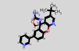 CC(C)(C)c1cnc2c(c1)[C@]1(COC(N)=N1)c1cc(-c3cccnc3)ccc1O2